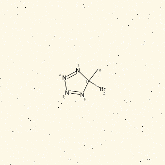 CC1(Br)N=NN=N1